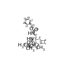 CCC[C@@H](CC1CCC1)[C@@H](CNC(=O)OCc1ccccc1)NC(=O)OC(C)(C)C